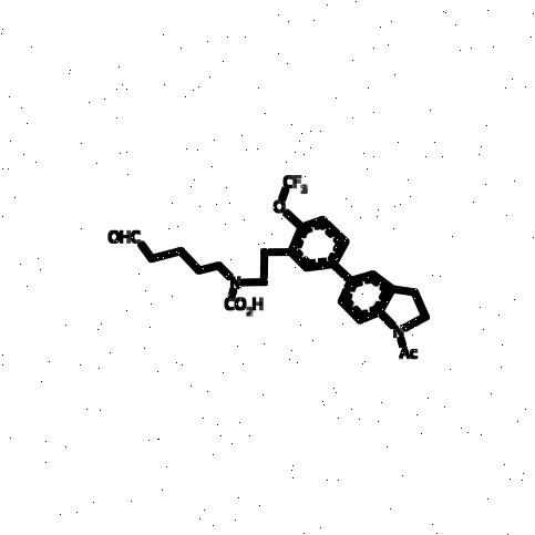 CC(=O)N1CCc2cc(-c3ccc(OC(F)(F)F)c(CCN(CCCCC=O)C(=O)O)c3)ccc21